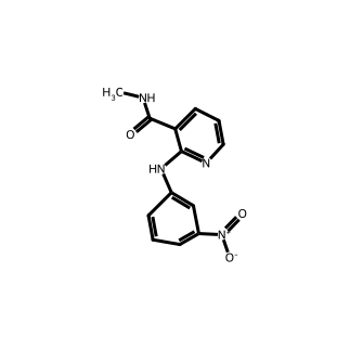 CNC(=O)c1cccnc1Nc1cccc([N+](=O)[O-])c1